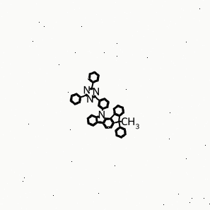 CC1(c2ccccc2)c2ccccc2-c2c1ccc1c3ccccc3n(-c3cccc(-c4nc(-c5ccccc5)nc(-c5ccccc5)n4)c3)c21